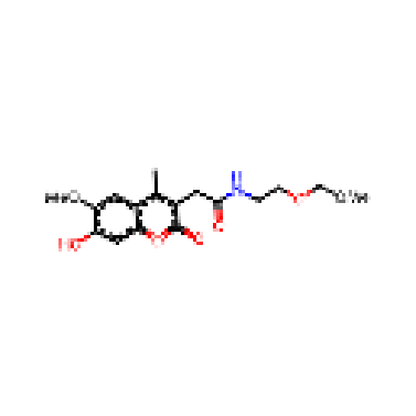 COCOCCNC(=O)Cc1c(C)c2cc(OC)c(O)cc2oc1=O